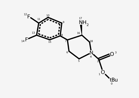 CC(C)(C)OC(=O)N1CCC(c2ccc(F)c(F)c2)[C@@H](N)C1